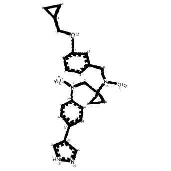 CN(CC1(N(C=O)Cc2cccc(OCC3CC3)c2)CC1)c1ccc(-c2cn[nH]c2)cc1